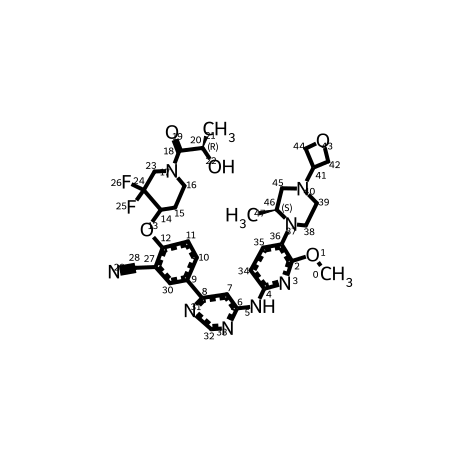 COc1nc(Nc2cc(-c3ccc(OC4CCN(C(=O)[C@@H](C)O)CC4(F)F)c(C#N)c3)ncn2)ccc1N1CCN(C2COC2)C[C@@H]1C